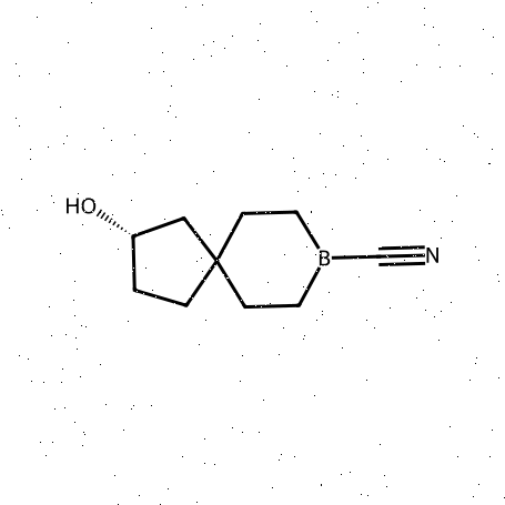 N#CB1CCC2(CC1)CC[C@H](O)C2